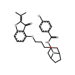 CC(C)=C1Oc2cccc(OCCCCN3C4CCC3CC(NC(=O)c3ccc(Cl)cc3)C4)c2C1=O